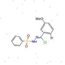 COc1ccc(Br)c(C(Cl)=NNS(=O)(=O)c2ccccc2)c1